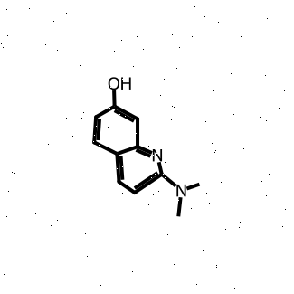 CN(C)c1ccc2ccc(O)cc2n1